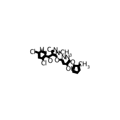 Cc1ccccc1Oc1nnc(Oc2c(C(=O)c3ccc(Cl)cc3Cl)c(C)nn2C)cc1O